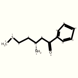 CSCC[C@@H](N)CC(=O)c1ccccc1